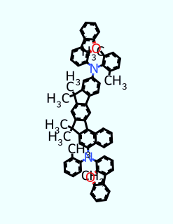 Cc1cccc(C)c1N(c1ccc2c(c1)C(C)(C)c1cc3c(cc1-2)-c1c(cc(N(c2c(C)cccc2C)c2cccc4c2oc2ccccc24)c2ccccc12)C3(C)C)c1cccc2c1oc1ccccc12